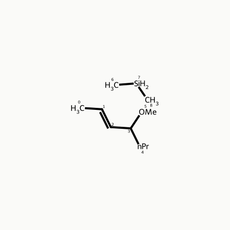 CC=CC(CCC)OC.C[SiH2]C